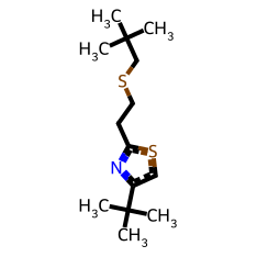 CC(C)(C)CSCCc1nc(C(C)(C)C)cs1